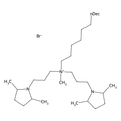 CCCCCCCCCCCCCCCC[N+](C)(CCCN1C(C)CCC1C)CCCN1C(C)CCC1C.[Br-]